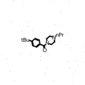 CCCN1CCN(C(=O)c2ccc(C(C)(C)C)cc2)CC1